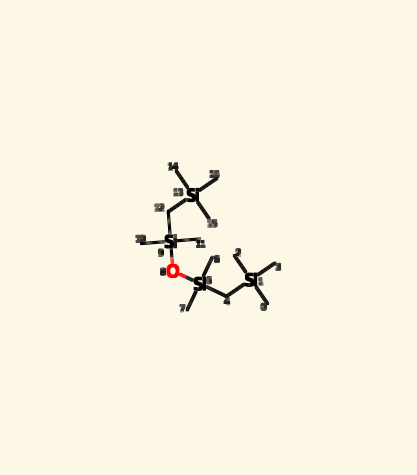 C[Si](C)(C)C[Si](C)(C)O[Si](C)(C)C[Si](C)(C)C